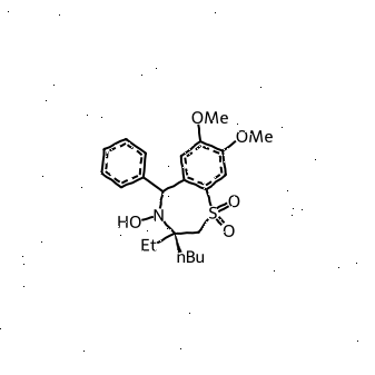 CCCC[C@]1(CC)CS(=O)(=O)c2cc(OC)c(OC)cc2C(c2ccccc2)N1O